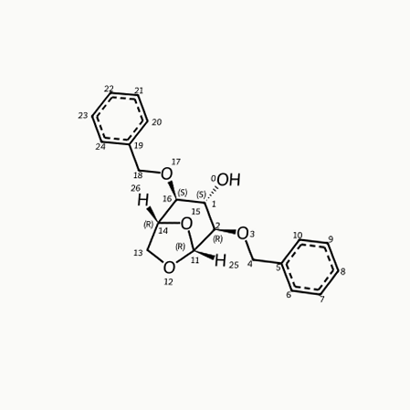 O[C@@H]1[C@@H](OCc2ccccc2)[C@@H]2OC[C@@H](O2)[C@H]1OCc1ccccc1